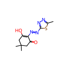 Cc1nnc(N=NC2=C(O)CC(C)(C)CC2=O)s1